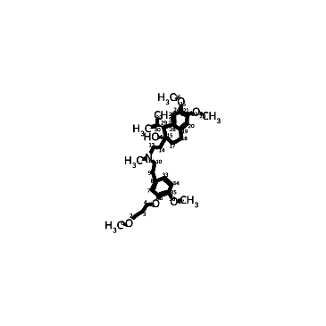 COCCCOc1cc(CCN(C)CC[C@@]2(O)CCc3cc(OC)c(OC)cc3[C@@H]2C(C)C)ccc1OC